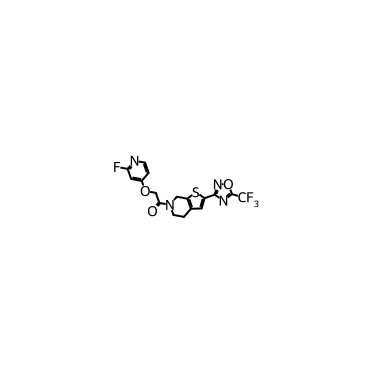 O=C(COc1ccnc(F)c1)N1CCc2cc(-c3noc(C(F)(F)F)n3)sc2C1